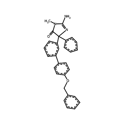 CN1C(=O)C(c2ccccc2)(c2cccc(-c3ccc(OCc4ccccc4)cc3)c2)N=C1N